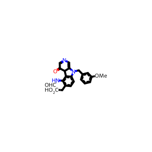 COc1cccc(CN2C3=CN=CC(=O)C3c3c2ccc(CC(=O)O)c3NC=O)c1